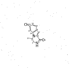 CC1CNC(=O)c2cc3ccc(Cl)cc3n21